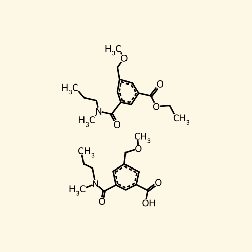 CCCN(C)C(=O)c1cc(COC)cc(C(=O)O)c1.CCCN(C)C(=O)c1cc(COC)cc(C(=O)OCC)c1